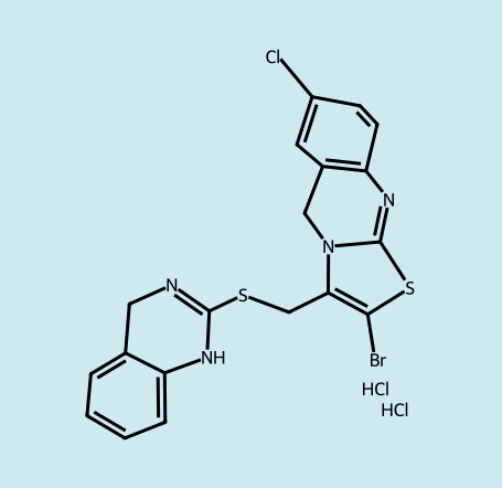 Cl.Cl.Clc1ccc2c(c1)CN1C(=N2)SC(Br)=C1CSC1=NCc2ccccc2N1